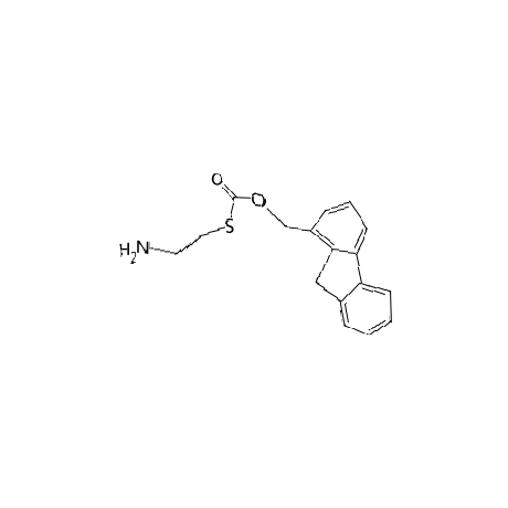 NCCSC(=O)OCc1cccc2c1Cc1ccccc1-2